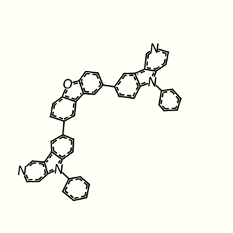 c1ccc(-n2c3ccncc3c3cc(-c4ccc5oc6ccc(-c7ccc8c(c7)c7cnccc7n8-c7ccccc7)cc6c5c4)ccc32)cc1